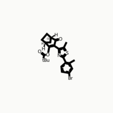 Cc1cc(Br)ccc1-c1nc(C2=C(OC(=O)C(C)(C)C)[C@@H]3CC[C@@H](C3)C2=O)c(C)s1